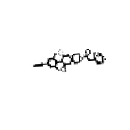 CC#Cc1cc(C)c(C2C(=O)CC3(CCN(C(=O)Cc4ccncn4)CC3)CC2=O)c(C)c1